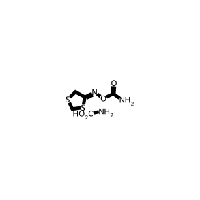 NC(=O)O.NC(=O)ON=C1CSCS1